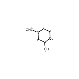 O=CN1CCOC(O)C1